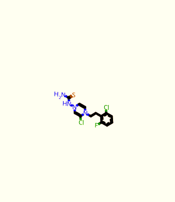 NC(=S)NN1C=CN(CCc2c(F)cccc2Cl)C(Cl)=C1